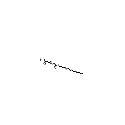 CCCCCCCCCCCCCCOC(=O)CCSCCC(=O)O